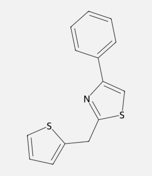 c1ccc(-c2csc(Cc3cccs3)n2)cc1